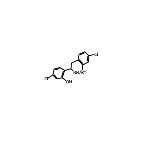 CC(=O)NC(Cc1ccc(Cl)cc1O)c1ccc(Cl)cc1O